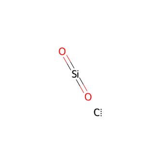 O=[Si]=O.[C]